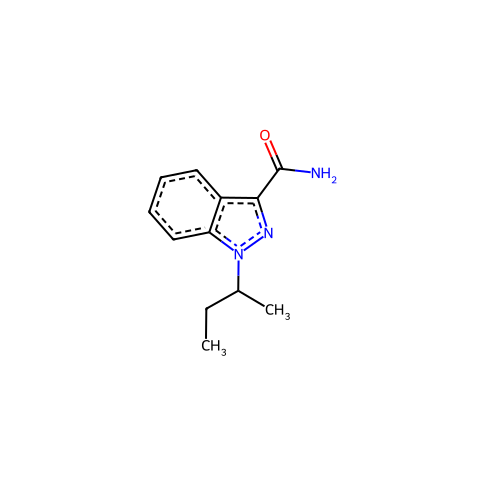 CCC(C)n1nc(C(N)=O)c2ccccc21